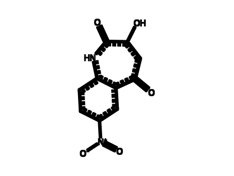 O=c1[nH]c2ccc([N+](=O)[O-])cc2c(=O)cc1O